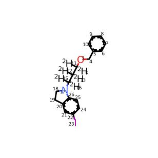 [2H]C([2H])(OCc1ccccc1)C([2H])([2H])C([2H])([2H])N1CCc2cc(I)ccc21